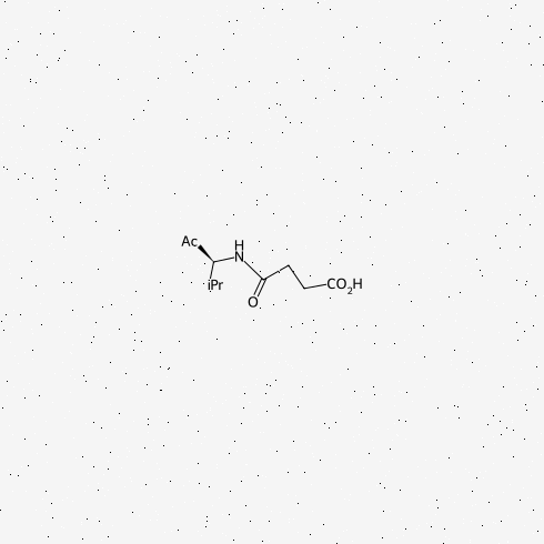 CC(=O)[C@@H](NC(=O)CCC(=O)O)C(C)C